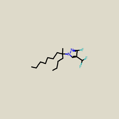 CCCCCCCC(C)(CCCC)n1cc(C(F)F)c(F)n1